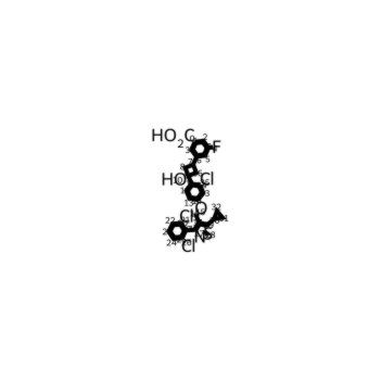 O=C(O)c1cc(F)cc(C2CC(O)(c3ccc(OCc4c(-c5c(Cl)cccc5Cl)nsc4C4CC4)cc3Cl)C2)c1